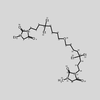 CCN1CC(=O)N(CCCC(CC)(CC)CCCCOCCCCC(CC)(CC)CCCN2C(=O)CN(C)C2=O)C1=O